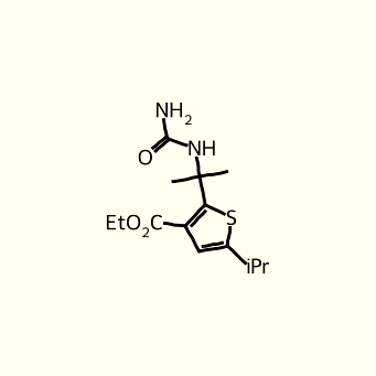 CCOC(=O)c1cc(C(C)C)sc1C(C)(C)NC(N)=O